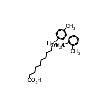 Cc1ccc(C)cc1.Cc1ccccc1C.O=C(O)CCCCCCCCC(=O)O